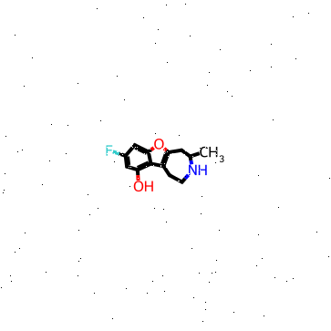 CC1Cc2oc3cc(F)cc(O)c3c2CCN1